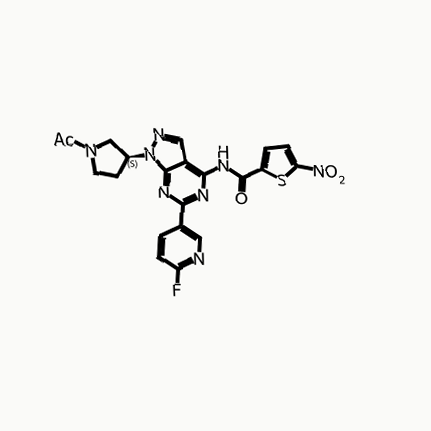 CC(=O)N1CC[C@H](n2ncc3c(NC(=O)c4ccc([N+](=O)[O-])s4)nc(-c4ccc(F)nc4)nc32)C1